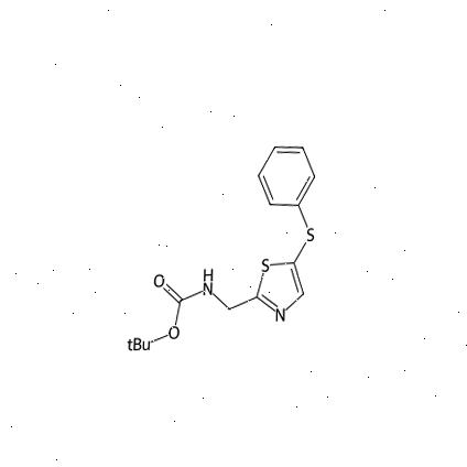 CC(C)(C)OC(=O)NCc1ncc(Sc2ccccc2)s1